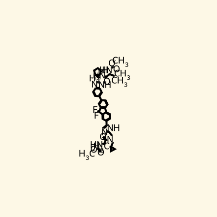 COC(=O)NCC(=O)N(Cc1ncc(-c2ccc3c(c2)C(F)(F)c2cc(-c4ccc5nc([C@@H]6[C@H]7CC[C@H](C7)N6C(=O)C(NC(=O)OC)C(C)C)[nH]c5c4)ccc2-3)[nH]1)CC1(C)CC1